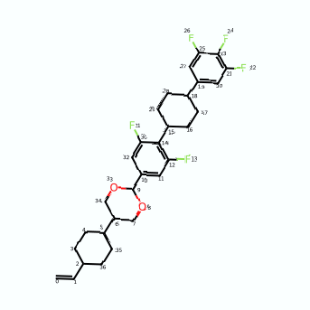 C=CC1CCC(C2COC(c3cc(F)c(C4CCC(c5cc(F)c(F)c(F)c5)CC4)c(F)c3)OC2)CC1